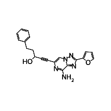 Nc1nc(C#CC(O)CCc2ccccc2)cn2nc(-c3ccco3)nc12